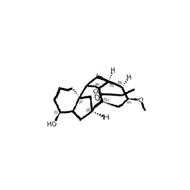 CO[C@H]1C[C@@]23OC(C)O[C@]24C(C[C@H]1[C@@H]4I)[C@]12CCC[C@H](O)C1C[C@H]3C2